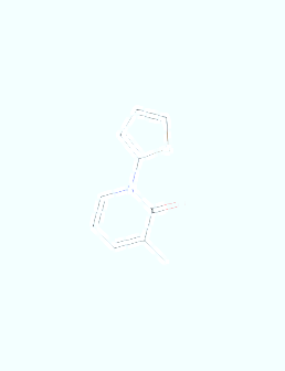 Cc1cccn(-c2cccs2)c1=O